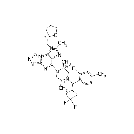 Cc1nc2c(N3C[C@@H](C)N(C(c4ccc(C(F)(F)F)cc4F)C4CC(F)(F)C4)C[C@@H]3C)nc3nncn3c2n1C[C@@H]1CCCO1